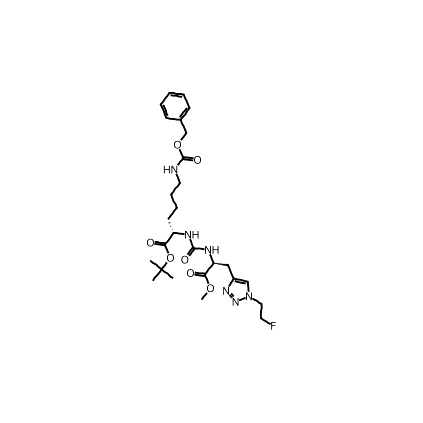 COC(=O)[C@H](Cc1cn(CCF)nn1)NC(=O)N[C@@H](CCCCNC(=O)OCc1ccccc1)C(=O)OC(C)(C)C